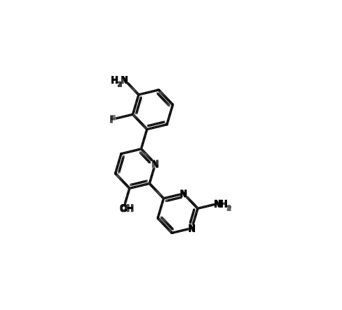 Nc1nccc(-c2nc(-c3cccc(N)c3F)ccc2O)n1